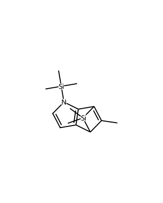 CC1=C2c3c(ccn3[Si](C)(C)C)C1[Si]2(C)C